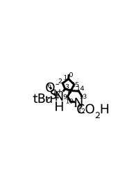 CC1CC(N[S@+]([O-])C(C)(C)C)C2(CCN(C(=O)O)CC2)C1